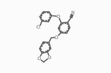 N#Cc1ccc(OCc2ccc3c(c2)OCO3)cc1Oc1cc[c]c(Cl)c1